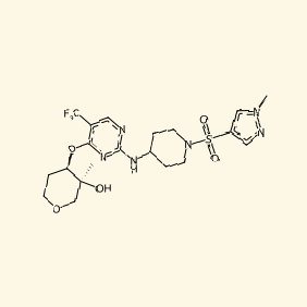 Cn1cc(S(=O)(=O)N2CCC(Nc3ncc(C(F)(F)F)c(O[C@@H]4CCOC[C@]4(C)O)n3)CC2)cn1